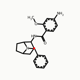 COc1cc(N)ccc1C(=O)NC1CCC2CCC1N2Cc1ccccc1